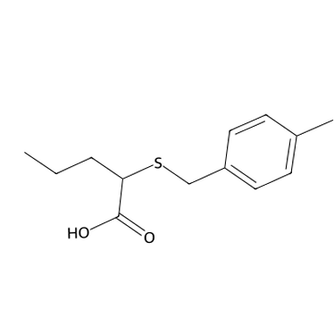 CCCC(SCc1ccc(C)cc1)C(=O)O